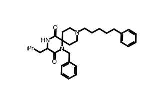 CC(C)CC1NC(=O)C2(CCN(CCCCCc3ccccc3)CC2)N(Cc2ccccc2)C1=O